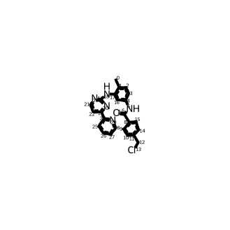 Cc1ccc(NC(=O)c2ccc(CCl)cc2)cc1Nc1nccc(-c2ccccn2)n1